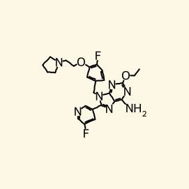 CCOc1nc(N)c2nc(-c3cncc(F)c3)n(Cc3ccc(F)c(OCCN4CCCC4)c3)c2n1